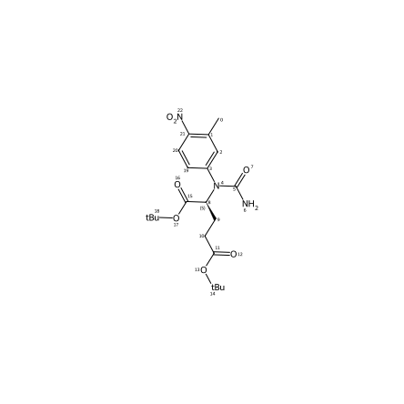 Cc1cc(N(C(N)=O)[C@@H](CCC(=O)OC(C)(C)C)C(=O)OC(C)(C)C)ccc1[N+](=O)[O-]